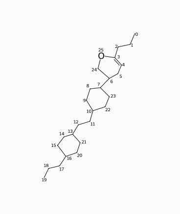 CCCC1=CCC(C2CCC(CCC3CCC(CCC)CC3)CC2)CO1